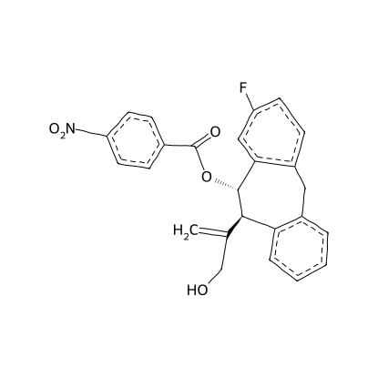 C=C(CO)[C@@H]1c2ccccc2Cc2ccc(F)cc2[C@H]1OC(=O)c1ccc([N+](=O)[O-])cc1